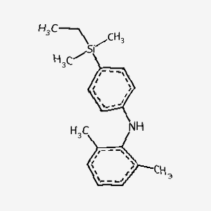 CC[Si](C)(C)c1ccc(Nc2c(C)cccc2C)cc1